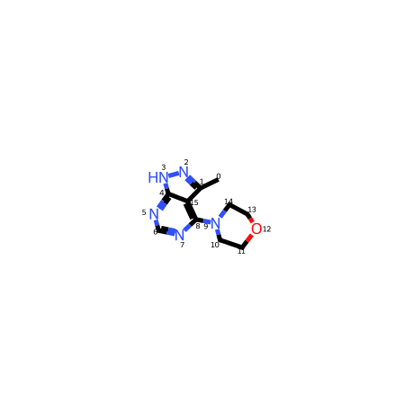 Cc1n[nH]c2ncnc(N3CCOCC3)c12